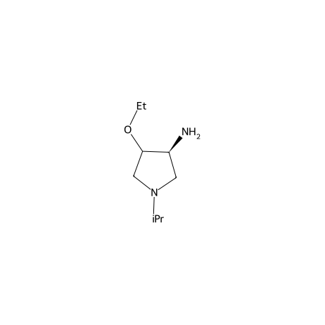 CCOC1CN(C(C)C)C[C@@H]1N